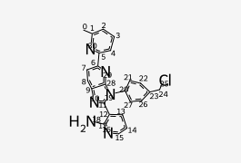 Cc1cccc(-c2ccc3nc(-c4cccnc4N)n(-c4ccc(CCl)cc4)c3n2)n1